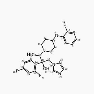 C[C@@H](N1CCC(Oc2ccccc2F)CC1)[C@](O)(Cn1cncn1)c1ccc(F)cc1F